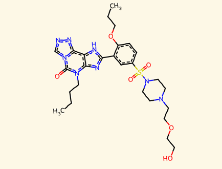 CCCCn1c(=O)n2cnnc2c2[nH]c(-c3cc(S(=O)(=O)N4CCN(CCOCCO)CC4)ccc3OCCC)nc21